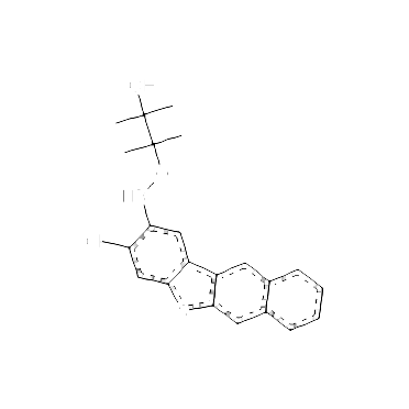 CC(C)(O)C(C)(C)OBc1cc2c(cc1Cl)sc1cc3ccccc3cc12